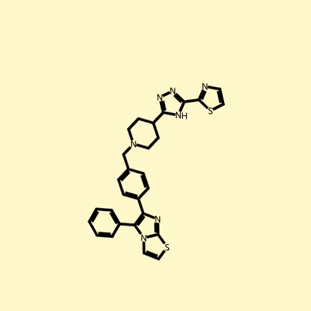 c1ccc(-c2c(-c3ccc(CN4CCC(c5nnc(-c6nccs6)[nH]5)CC4)cc3)nc3sccn23)cc1